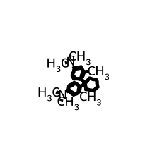 Cc1cc(N(C)C)ccc1C1(c2ccc(N(C)C)cc2C)CCCCC1